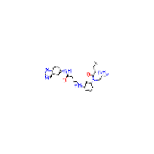 CCCC(N)C(=O)N(CCC)c1cccc(NCCCC(=O)Nc2ccc3ncncc3c2)c1